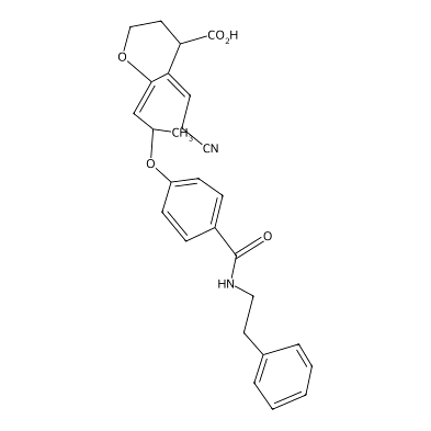 CC(/C=C1/OCCC(C(=O)O)/C1=C/CC#N)Oc1ccc(C(=O)NCCc2ccccc2)cc1